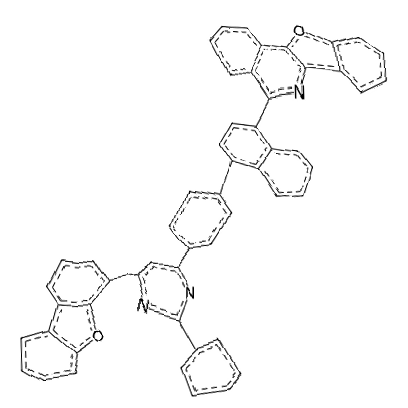 c1ccc(-c2nc(-c3ccc(-c4ccc(-c5nc6c7ccccc7oc6c6ccccc56)c5ccccc45)cc3)cc(-c3cccc4c3oc3ccccc34)n2)cc1